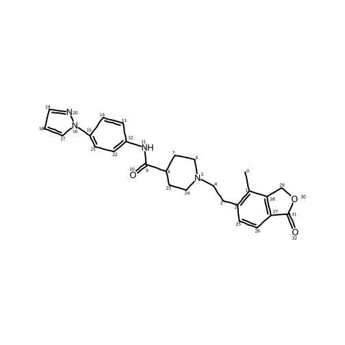 Cc1c(CCN2CCC(C(=O)Nc3ccc(-n4cccn4)cc3)CC2)ccc2c1COC2=O